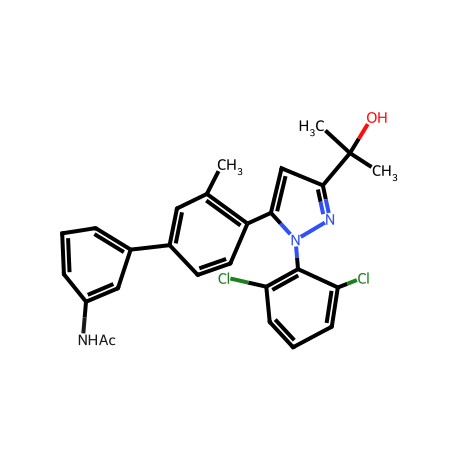 CC(=O)Nc1cccc(-c2ccc(-c3cc(C(C)(C)O)nn3-c3c(Cl)cccc3Cl)c(C)c2)c1